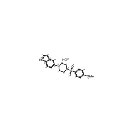 COc1ccc(S(=O)(=O)N2CCN(c3ccc4[nH]ccc4c3)CC2)cc1.Cl